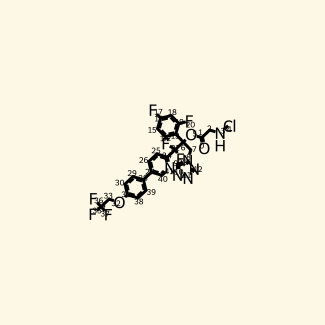 O=C(CNCl)OC(Cn1cnnn1)(c1ccc(F)cc1F)C(F)(F)c1ccc(-c2ccc(OCC(F)(F)F)cc2)cn1